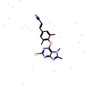 Cc1cc(/C=C/C#N)cc(C)c1Oc1nc(Cl)nc2nc(C)n(C)c12